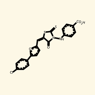 O=C(O)c1ccc(NN2C(=O)/C(=C\c3ccc(-c4ccc(Cl)cc4)o3)SC2=S)cc1